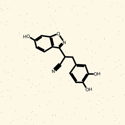 N#CC(Cc1ccc(O)c(O)c1)c1noc2cc(O)ccc12